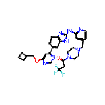 O=C(CC(F)(F)F)N1CCN(Cc2ccnc(Nc3nc4ccc(-c5cc(OCC6CCC6)ncn5)cc4[nH]3)c2)CC1